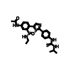 CCN[S+]([O-])c1cc(NC(C)=O)ccc1-c1cnc(-c2ccc(NC(=S)NC(C)C)cc2)s1